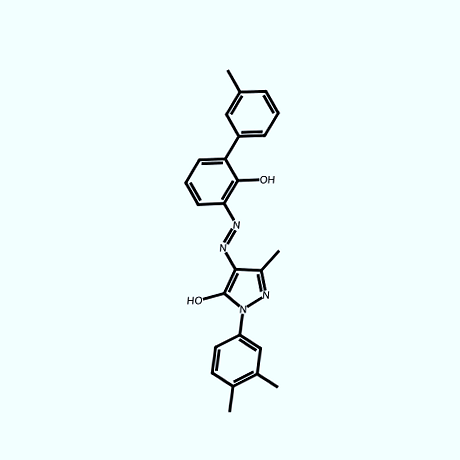 Cc1cccc(-c2cccc(/N=N/c3c(C)nn(-c4ccc(C)c(C)c4)c3O)c2O)c1